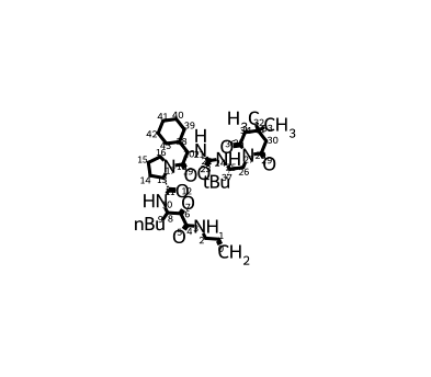 C=CCNC(=O)C(=O)C(CCCC)NC(=O)[C@@H]1CCCN1C(=O)[C@@H](NC(=O)N[C@H](CN1C(=O)CC(C)(C)CC1=O)C(C)(C)C)C1CCCCC1